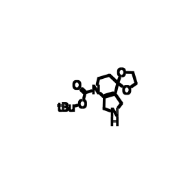 CC(C)(C)OC(=O)N1CCC2(OCCO2)C2=C1CNC2